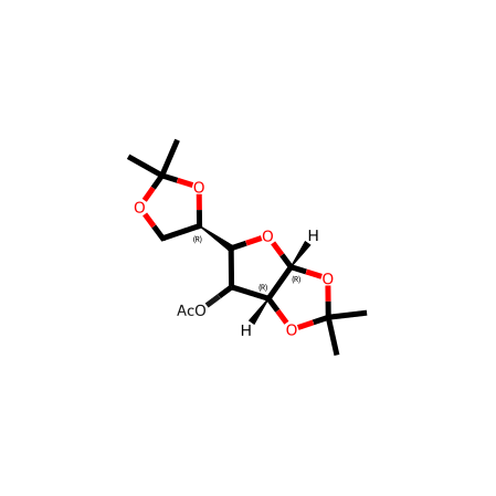 CC(=O)OC1C([C@H]2COC(C)(C)O2)O[C@@H]2OC(C)(C)O[C@H]12